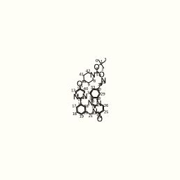 CC(C)(C)OC(=O)N1CCC(Oc2cnc(-c3cccc(Cn4c(=O)ccn5c6cc(C#N)ccc6nc45)c3)nc2)CC1